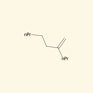 [CH2]CCC(=C)CCCCC